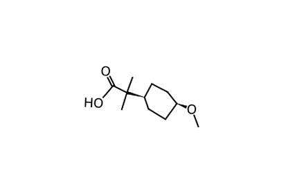 CO[C@H]1CC[C@@H](C(C)(C)C(=O)O)CC1